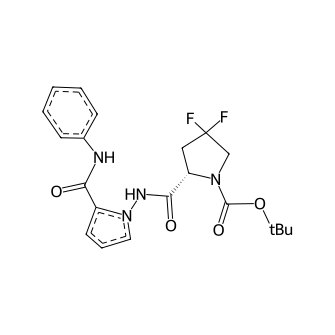 CC(C)(C)OC(=O)N1CC(F)(F)C[C@H]1C(=O)Nn1cccc1C(=O)Nc1ccccc1